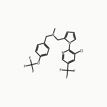 CN(Cc1ccc(OC(F)(F)F)cc1)Cc1cccn1-c1ncc(C(F)(F)F)cc1Cl